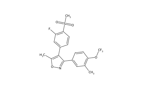 Cc1cc(-c2noc(C)c2-c2ccc(S(C)(=O)=O)c(F)c2)ccc1OC(F)(F)F